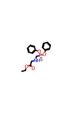 CCOC(=O)CNCP(=S)(Oc1ccccc1)Oc1ccccc1